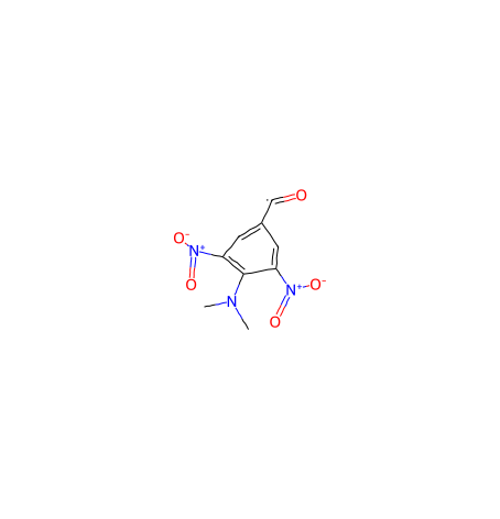 CN(C)c1c([N+](=O)[O-])cc([C]=O)cc1[N+](=O)[O-]